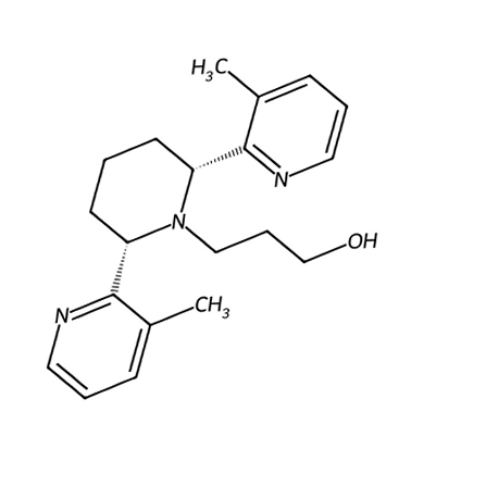 Cc1cccnc1[C@H]1CCC[C@@H](c2ncccc2C)N1CCCO